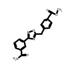 COC(=O)c1ccc(Cc2nc(-c3cccc(C(N)=O)c3)no2)cc1